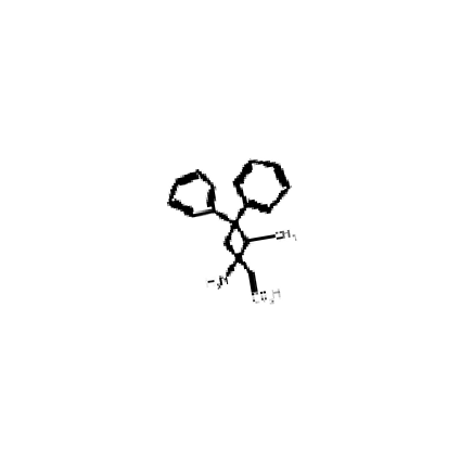 CC1C(N)(CC(=O)O)CC1(c1ccccc1)c1ccccc1